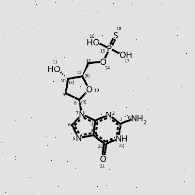 Nc1nc2c(ncn2[C@H]2C[C@H](O)[C@@H](COP(O)(O)=S)O2)c(=O)[nH]1